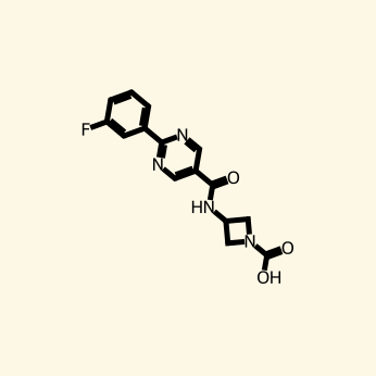 O=C(NC1CN(C(=O)O)C1)c1cnc(-c2cccc(F)c2)nc1